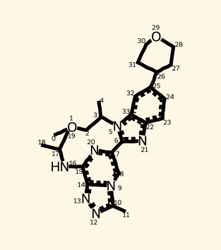 COCC(C)n1c(-c2cn3c(C)nnc3c(NC(C)C)n2)nc2ccc(C3CCOCC3)cc21